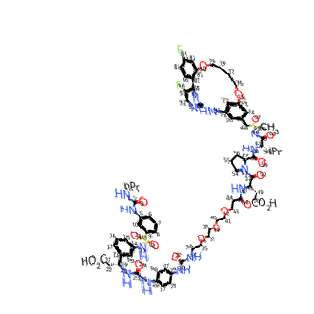 CCCNC(=O)Nc1cccc(S(=O)(=O)Nc2cccc([C@@H](CC(=O)O)NC(=O)Nc3ccc(NC(=O)NCCOCCOCCOCCC(=O)N[C@@H](CC(=O)O)C(=O)N4CCC[C@H]4C(=O)N[C@H](C(=O)N=[S@](C)(=O)Cc4cc5cc(c4)OCCCCOc4cc(F)ccc4-c4nc(ncc4F)N5)C(C)C)cc3)c2)c1